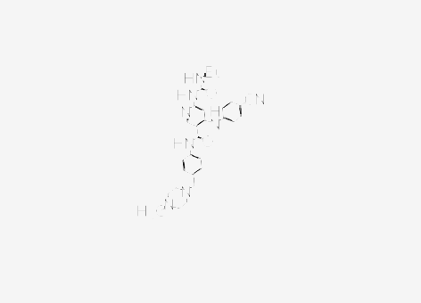 CCNC(=O)Nc1cc(Nc2ccc(C#N)cc2)c(C(=O)Nc2ccc(CN3CCN(C)CC3)cc2)cn1